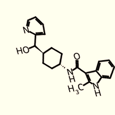 Cc1[nH]c2ccccc2c1C(=O)N[C@H]1CC[C@H](C(O)c2ccccn2)CC1